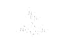 c1ccc(N2c3ccccc3B3c4cc5c(cc4N(c4ccccc4)c4cccc2c43)c2c3c(cc4c6cc7c(cc6n5c42)N(c2ccccc2)c2cccc4c2B7c2ccccc2N4c2ccccc2)B2c4ccccc4N(c4ccccc4)c4cccc(c42)N3c2ccccc2)cc1